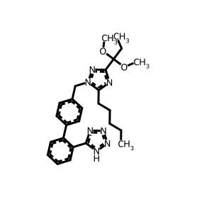 CCCCCc1nc(C(CC)(OC)OC)nn1Cc1ccc(-c2ccccc2-c2nnn[nH]2)cc1